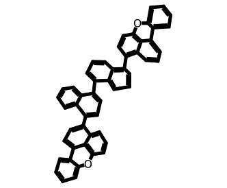 c1ccc2c(c1)Oc1ccc(-c3cccc4c(-c5ccc(-c6ccc7c8c(cccc68)Oc6ccccc6-7)c6ccccc56)cccc34)c3cccc-2c13